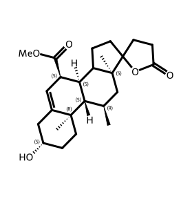 COC(=O)[C@@H]1C=C2C[C@@H](O)CC[C@]2(C)[C@@H]2[C@@H]1C1CCC3(CCC(=O)O3)[C@@]1(C)C[C@H]2C